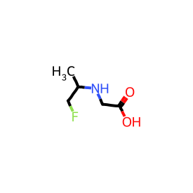 CC(CF)NCC(=O)O